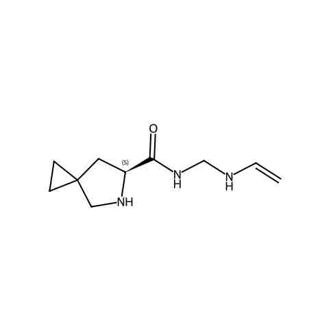 C=CNCNC(=O)[C@@H]1CC2(CC2)CN1